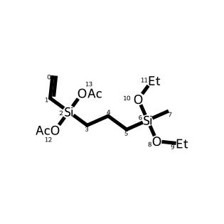 C=C[Si](CCC[Si](C)(OCC)OCC)(OC(C)=O)OC(C)=O